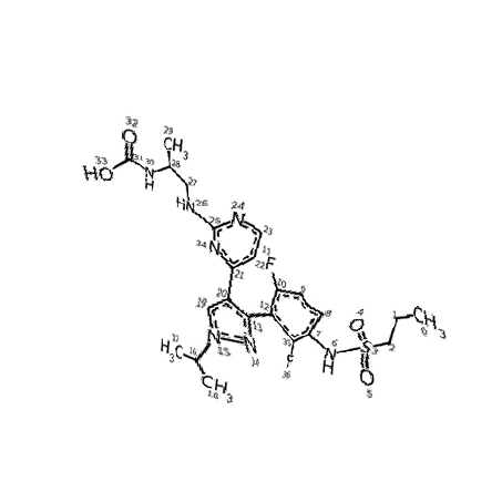 CCCS(=O)(=O)Nc1ccc(F)c(-c2nn(C(C)C)cc2-c2ccnc(NC[C@H](C)NC(=O)O)n2)c1F